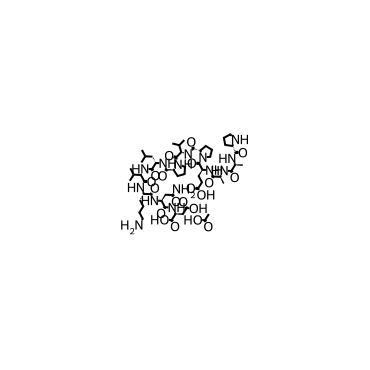 CC(=O)O.CC(C)C[C@H](NC(=O)[C@@H]1CCCN1C(=O)[C@@H](NC(=O)[C@@H]1CCCN1C(=O)[C@H](CCC(=O)O)NC(=O)[C@H](C)NC(=O)[C@H](C)NC(=O)[C@@H]1CCCN1)C(C)C)C(=O)N[C@H](C(=O)N[C@@H](CCCCN)C(=O)N[C@@H](CC(N)=O)C(=O)N[C@@H](CC(=O)O)C(=O)O)C(C)C